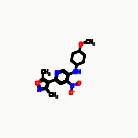 COC1CCC(Nc2cnc(-c3c(C)noc3C)cc2[N+](=O)[O-])CC1